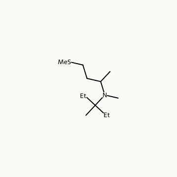 CCC(C)(CC)N(C)C(C)CCSC